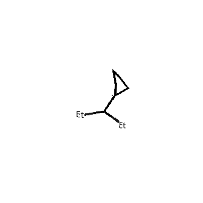 CCC(CC)[C]1CC1